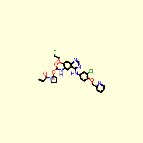 C=CC(=O)N1CCC[C@@H]1OC(=O)Nc1cc2c(Nc3ccc(OCc4ccccn4)c(Cl)c3)ncnc2cc1OCCF